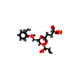 C=CC(=O)OCC(COc1ccccc1C)OC(=O)CCC(=O)O